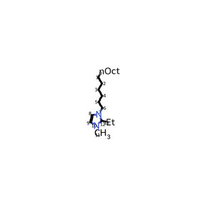 CCCCCCCCCCCCCCN1C=CN(C)C1CC